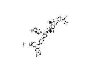 Cc1cc(C(F)(F)F)ccc1C1=C(CN2CCN(c3ccc(C(=O)NS(=O)(=O)c4ccc(NCC5CN(C(=O)C6COC6)CCO5)c([N+](=O)[O-])c4)c(Oc4cnc5[nH]ccc5c4)c3)CC2)CCC(C)(C)C1